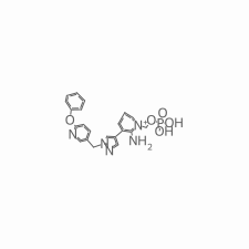 Nc1c(-c2cnn(Cc3ccc(Oc4ccccc4)nc3)c2)ccc[n+]1COP(=O)(O)O